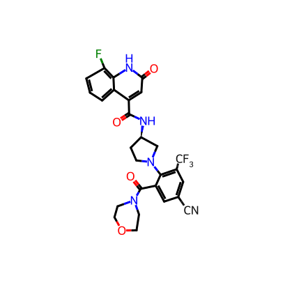 N#Cc1cc(C(=O)N2CCOCC2)c(N2CC[C@@H](NC(=O)c3cc(=O)[nH]c4c(F)cccc34)C2)c(C(F)(F)F)c1